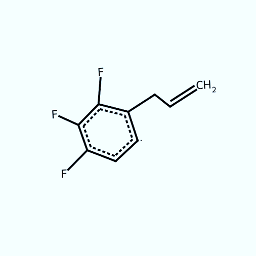 C=CCc1[c]cc(F)c(F)c1F